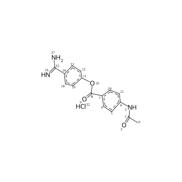 CC(=O)Nc1ccc(C(=O)Oc2ccc(C(=N)N)cc2)cc1.Cl